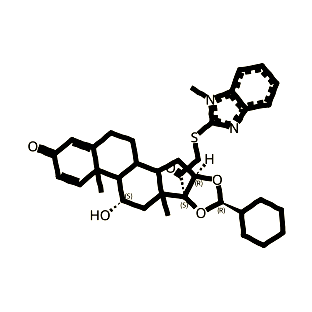 Cn1c(SCC(=O)[C@@]23O[C@H](C4CCCCC4)O[C@@H]2CC2C4CCC5=CC(=O)C=CC5(C)C4[C@@H](O)CC23C)nc2ccccc21